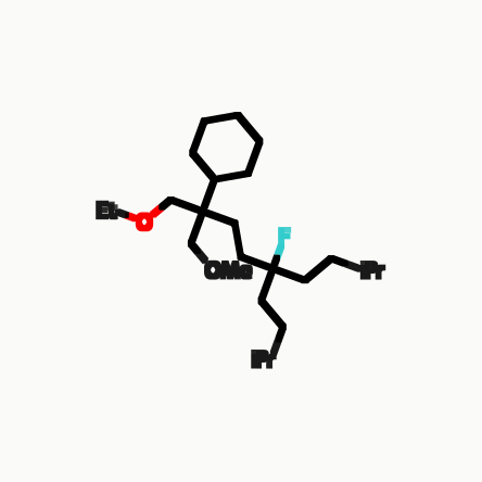 CCOCC(CCC(F)(CCC(C)C)CCC(C)C)(COC)C1CCCCC1